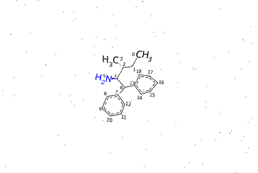 CC[C@@H](C)[C@H](N)C(c1ccccc1)c1ccccc1